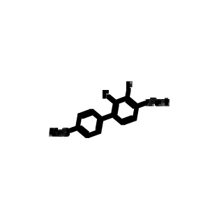 CCCCCc1ccc(-c2ccc(OC)cc2)c(F)c1F